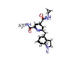 CNC(=O)c1cc(C(=O)NC2CC2)cc(Cc2cccc3c2CCN3)n1